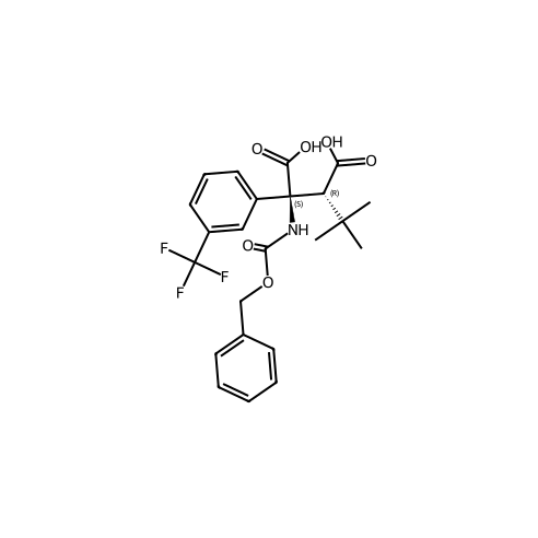 CC(C)(C)[C@@H](C(=O)O)[C@@](NC(=O)OCc1ccccc1)(C(=O)O)c1cccc(C(F)(F)F)c1